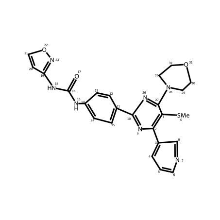 CSc1c(-c2cccnc2)nc(-c2ccc(NC(=O)Nc3ccon3)cc2)nc1N1CCOCC1